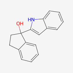 OC1(c2cc3ccccc3[nH]2)CCc2ccccc21